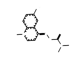 CCn1cc/c(=N\OC(=O)N(C)C)c2cc(SC)ccc21